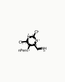 CCCCCc1c(Cl)nc(Cl)nc1C=N